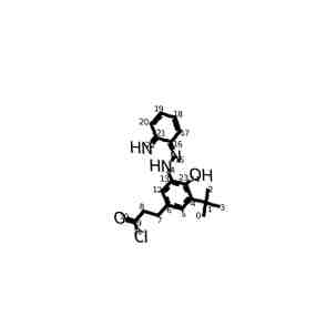 CC(C)(C)c1cc(CCC(=O)Cl)cc(N/N=C2/C=CC=CC2=N)c1O